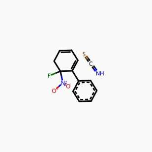 N=C=S.O=[N+]([O-])C1(F)CC=CC=C1c1ccccc1